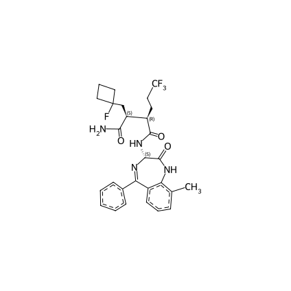 Cc1cccc2c1NC(=O)[C@@H](NC(=O)[C@H](CCC(F)(F)F)[C@H](CC1(F)CCC1)C(N)=O)N=C2c1ccccc1